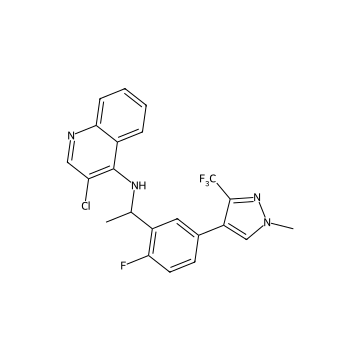 CC(Nc1c(Cl)cnc2ccccc12)c1cc(-c2cn(C)nc2C(F)(F)F)ccc1F